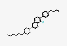 C=CCCc1ccc(-c2ccc3cc([C@H]4CC[C@H](CCCCCC)CC4)ccc3c2F)cc1